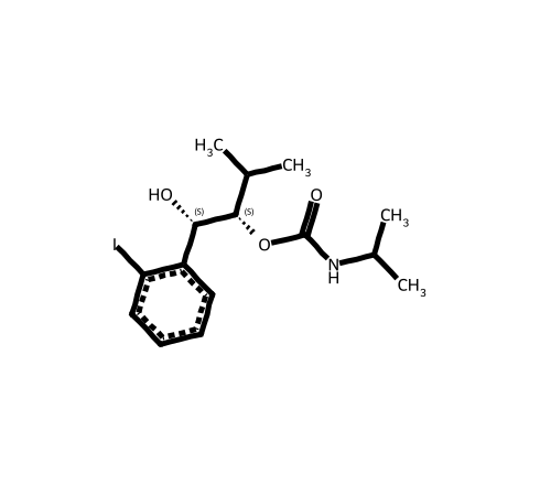 CC(C)NC(=O)O[C@@H](C(C)C)[C@@H](O)c1ccccc1I